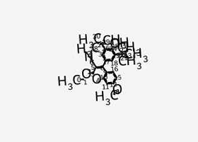 CCOC(=O)C(C#N)=C(c1ccc(OC)cc1)c1cc(C(C)(C)C)c(O)c(C(C)(C)C)c1